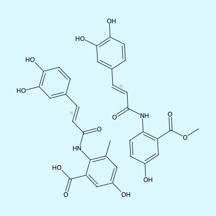 COC(=O)c1cc(O)ccc1NC(=O)/C=C/c1ccc(O)c(O)c1.Cc1cc(O)cc(C(=O)O)c1NC(=O)/C=C/c1ccc(O)c(O)c1